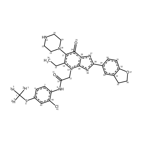 [2H]C([2H])([2H])Sc1ccc(NC(=O)Cn2c(CC)c(N3CCNCC3)c(=O)n3nc(-c4ccc5c(c4)CCO5)nc23)c(Cl)c1